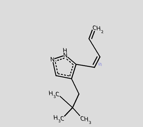 C=C/C=C\c1[nH]ncc1CC(C)(C)C